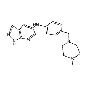 CN1CCN(Cc2ccc(Nc3cnc4[nH]ncc4c3)cc2)CC1